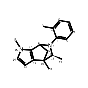 Cc1ccccc1N1C2CC(C)(c3ccn(C)c32)[C@@H]1C